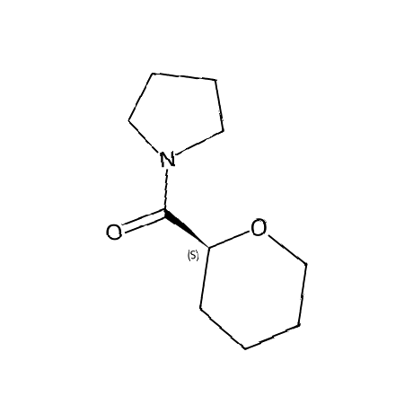 O=C([C@@H]1CCCCO1)N1CCCC1